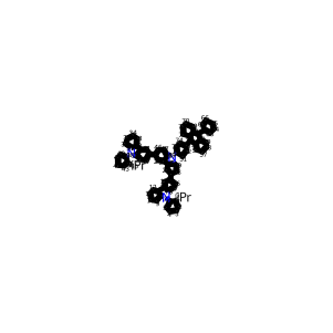 CC(C)c1ccccc1-n1c2ccccc2c2cc(-c3ccc4c(c3)c3cc(-c5ccc6c(c5)c5ccccc5n6-c5ccccc5C(C)C)ccc3n4-c3ccc(-c4c5ccccc5c(-c5ccccc5)c5ccccc45)cc3)ccc21